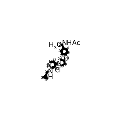 CC(=O)N[C@@H](C)c1ccc(O[C@@H]2CCN(c3ccnc(NCC4CC4)c3Cl)C2)cc1